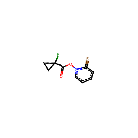 O=C(On1ccccc1=S)C1(F)CC1